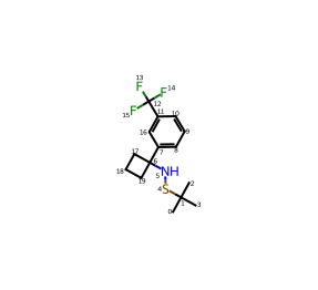 CC(C)(C)SNC1(c2cccc(C(F)(F)F)c2)CCC1